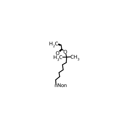 C=CC(=O)OC(C)(C)CCCCCCCCCCCCCCC